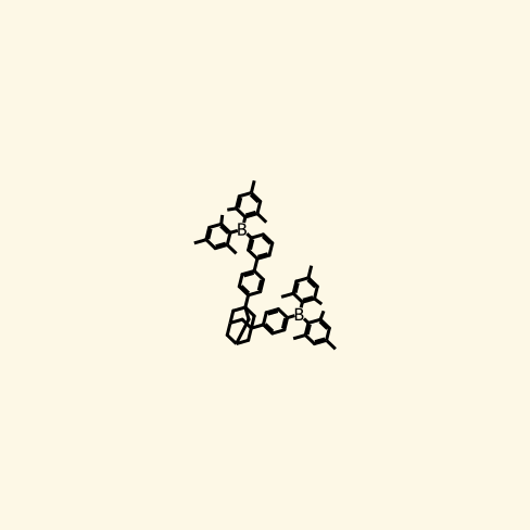 Cc1cc(C)c(B(c2ccc(C34CC5CC(C3)CC(c3ccc(-c6cccc(B(c7c(C)cc(C)cc7C)c7c(C)cc(C)cc7C)c6)cc3)(C5)C4)cc2)c2c(C)cc(C)cc2C)c(C)c1